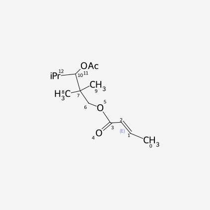 C/C=C/C(=O)OCC(C)(C)C(OC(C)=O)C(C)C